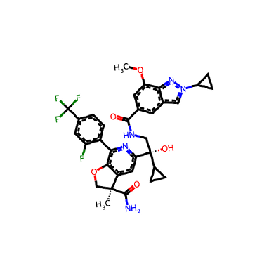 COc1cc(C(=O)NC[C@](O)(c2cc3c(c(-c4ccc(C(F)(F)F)cc4F)n2)OC[C@]3(C)C(N)=O)C2CC2)cc2cn(C3CC3)nc12